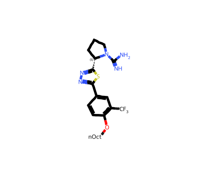 CCCCCCCCOc1ccc(-c2nnc([C@@H]3CCCN3C(=N)N)s2)cc1C(F)(F)F